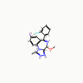 COC1N=C(c2ccccc2F)c2cc(I)ccc2-n2c(C)nnc21